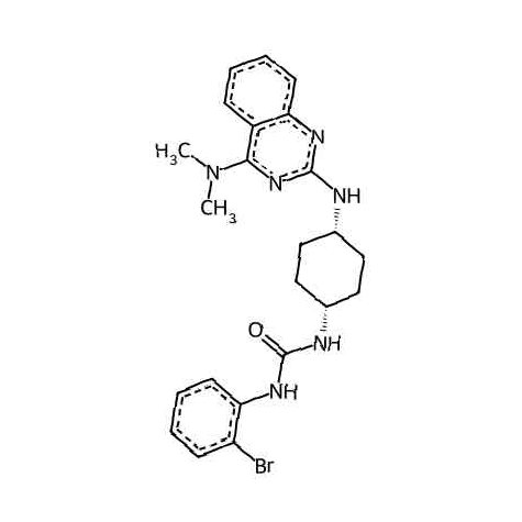 CN(C)c1nc(N[C@H]2CC[C@@H](NC(=O)Nc3ccccc3Br)CC2)nc2ccccc12